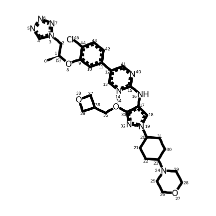 C[C@@H](Cn1cnnn1)Oc1cc(-c2cnc(Nc3cn(C4CCC(N5CCOCC5)CC4)nc3OCC3COC3)nc2)ccc1Cl